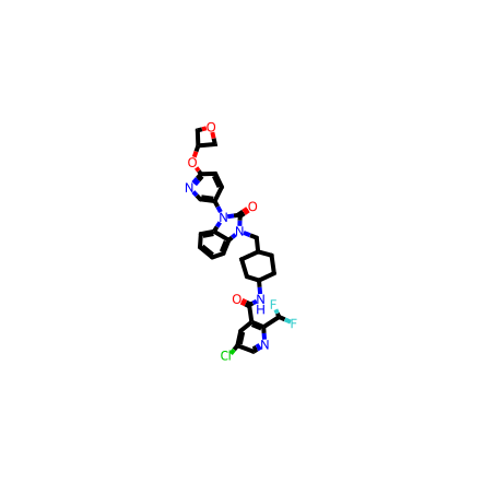 O=C(NC1CCC(Cn2c(=O)n(-c3ccc(OC4COC4)nc3)c3ccccc32)CC1)c1cc(Cl)cnc1C(F)F